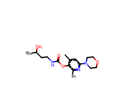 Cc1cc(N2CCOCC2)nc(C(C)C)c1OC(=O)NCCC(O)C(C)(C)C